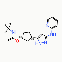 C=C(NC1(C)CC1)O[C@@H]1CC[C@H](c2cc(Nc3ccccn3)n[nH]2)C1